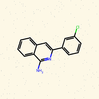 Nc1nc(-c2cccc(Cl)c2)cc2ccccc12